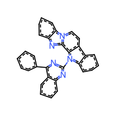 c1ccc(-c2nc(-n3c4ccccc4c4ccn5c6ccccc6nc5c43)nc3ccccc23)cc1